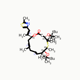 C/C1=C/C[C@@H](/C(C)=C/c2csc(C)n2)OC(=O)C[C@H](O[Si](C)(C)C(C)(C)C)C(C)(C)S[C@H](C)[C@@H](O[Si](C)(C)C(C)(C)C)[C@@H](C)/C=C/C1